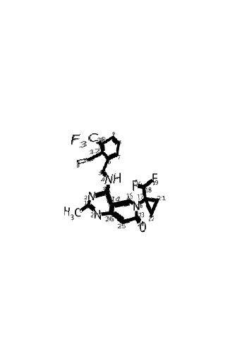 Cc1nc(NCc2cccc(C(F)(F)F)c2F)c2cn(C3(C(F)F)CC3)c(=O)cc2n1